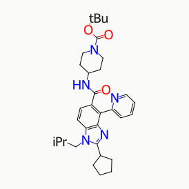 CC(C)Cn1c(C2CCCC2)nc2c(-c3ccccn3)c(C(=O)NC3CCN(C(=O)OC(C)(C)C)CC3)ccc21